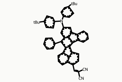 CC(C)(C)c1ccc(N(c2ccc(C(C)(C)C)cc2)c2cc3c(-c4ccccc4)c4c5cccc6c(C=C(C#N)C#N)ccc(c65)c4c4c5ccccc5c(c2)c34)cc1